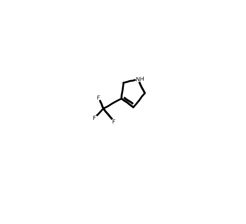 FC(F)(F)C1=CCN[CH]1